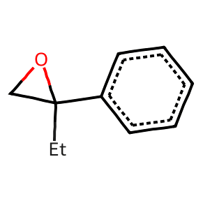 CCC1(c2ccccc2)CO1